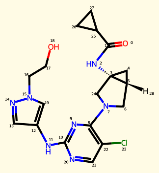 O=C(N[C@]12C[C@@H]1CN(c1nc(Nc3cnn(CCO)c3)ncc1Cl)C2)C1CC1